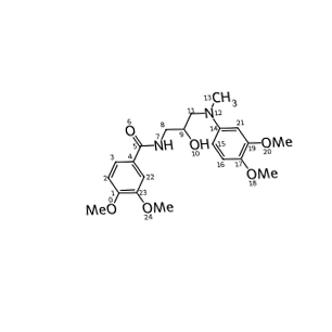 COc1ccc(C(=O)NCC(O)CN(C)c2ccc(OC)c(OC)c2)cc1OC